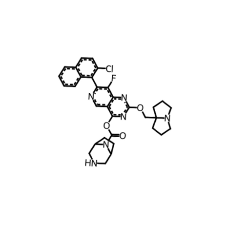 O=C(Oc1nc(OCC23CCCN2CCC3)nc2c(F)c(-c3c(Cl)ccc4ccccc34)ncc12)N1C2CCC1CNC2